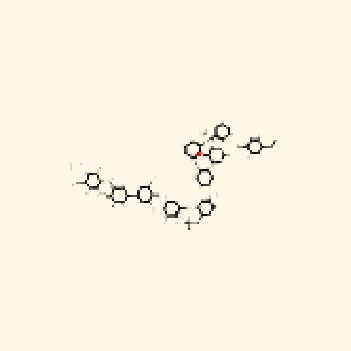 C=Cc1ccc(COc2ccc(OCc3ccc(Oc4ccc(CC(C)(C)Oc5c(C)cc(Oc6c(C)cc(-c7cc(C)c(Oc8cc(C)c(O)c(C)c8)c(C)c7)cc6C)cc5C)cc4)cc3)c(P(=O)(c3ccccc3)c3ccccc3)c2)cc1